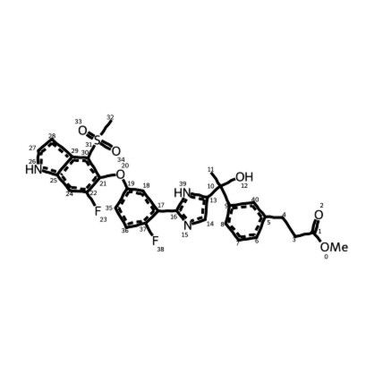 COC(=O)CCc1cccc(C(C)(O)c2cnc(-c3cc(Oc4c(F)cc5[nH]ccc5c4S(C)(=O)=O)ccc3F)[nH]2)c1